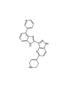 C1=C(c2ccc3[nH]nc(-c4nc5c(-c6cccnc6)cccc5[nH]4)c3n2)CCNC1